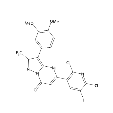 COc1ccc(-c2c(C(F)(F)F)nn3c(=O)cc(-c4cc(F)c(Cl)nc4Cl)[nH]c23)cc1OC